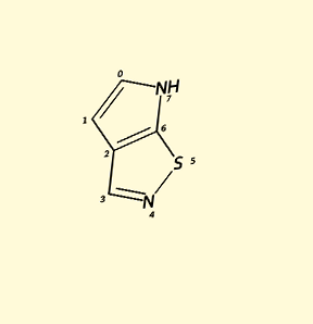 c1cc2cnsc2[nH]1